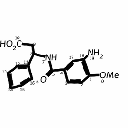 COc1ccc(C(=O)NC(CC(=O)O)c2ccccc2)cc1N